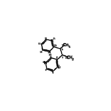 CC(c1cnccn1)C(C)c1ncccn1